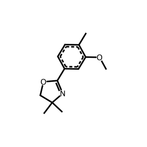 COc1cc(C2=NC(C)(C)CO2)ccc1C